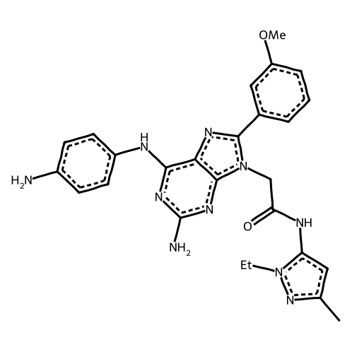 CCn1nc(C)cc1NC(=O)Cn1c(-c2cccc(OC)c2)nc2c(Nc3ccc(N)cc3)nc(N)nc21